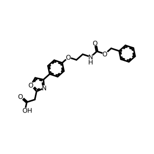 O=C(O)Cc1nc(-c2ccc(OCCNC(=O)OCc3ccccc3)cc2)co1